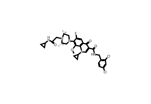 COc1c(N2C[C@@H](C)N(CC(=O)NC3CC3)[C@@H](C)C2)c(F)cc2c(=O)c(C(=O)NCc3ccc(Cl)cc3Cl)cn(C3CC3)c12